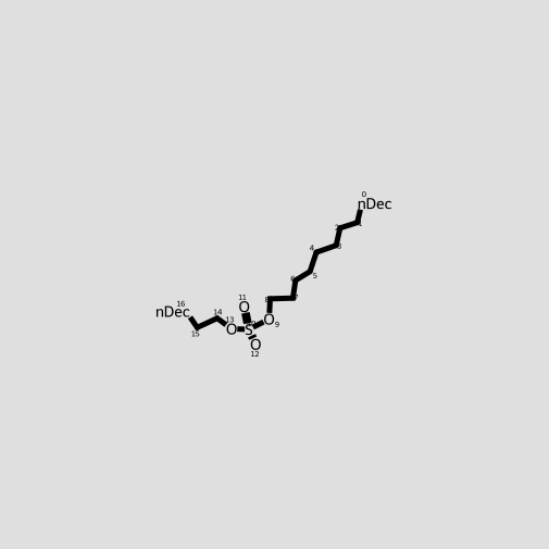 CCCCCCCCCCCCCCCCCCOS(=O)(=O)OCCCCCCCCCCCC